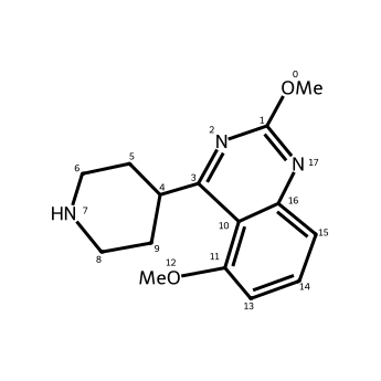 COc1nc(C2CCNCC2)c2c(OC)cccc2n1